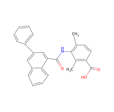 Cc1ccc(C(=O)O)c(C)c1NC(=O)c1cc(-c2ccccc2)cc2ccccc12